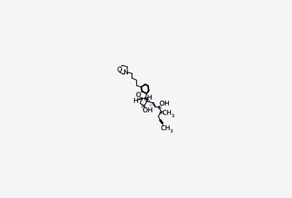 CC#CC[C@@H](C)[C@H](O)/C=C/[C@@H]1[C@H]2c3cccc(CCCCN4CCOCC4)c3O[C@H]2C[C@H]1O